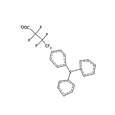 O=C([O-])C(F)(F)C(F)(F)C(F)(F)F.c1ccc([S+](c2ccccc2)c2ccccc2)cc1